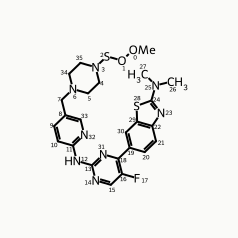 COOSN1CCN(Cc2ccc(Nc3ncc(F)c(-c4ccc5nc(N(C)C)sc5c4)n3)nc2)CC1